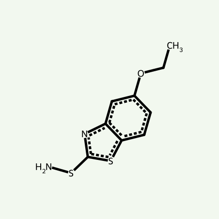 CCOc1ccc2sc(SN)nc2c1